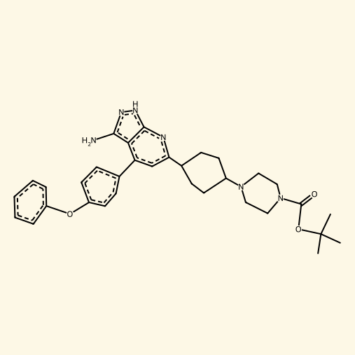 CC(C)(C)OC(=O)N1CCN(C2CCC(c3cc(-c4ccc(Oc5ccccc5)cc4)c4c(N)n[nH]c4n3)CC2)CC1